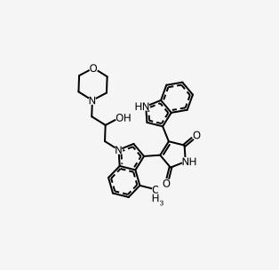 Cc1cccc2c1c(C1=C(c3c[nH]c4ccccc34)C(=O)NC1=O)cn2CC(O)CN1CCOCC1